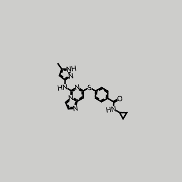 Cc1cc(Nc2nc(Sc3ccc(C(=O)NC4CC4)cc3)cc3nccn23)n[nH]1